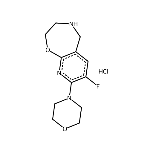 Cl.Fc1cc2c(nc1N1CCOCC1)OCCNC2